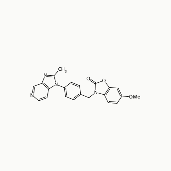 COc1ccc2c(c1)oc(=O)n2Cc1ccc(-n2c(C)nc3cnccc32)cc1